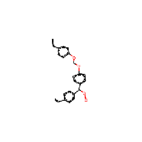 C=Cc1ccc(OCOc2ccc(C(OO)c3ccc(C=C)cc3)cc2)cc1